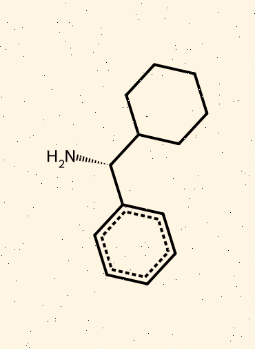 N[C@@H](c1ccccc1)C1CCCCC1